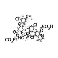 CCOC(=O)COC(=O)c1cc(Oc2ccc(C(F)(F)F)cc2Cl)ccc1[N+](=O)[O-].Cc1cc(Cl)ccc1OC(C)C(=O)O.O=C(O)COc1ccc(Cl)c2cccnc12